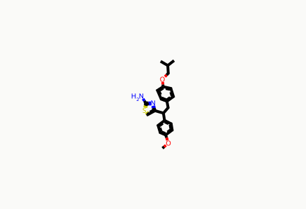 COc1ccc(C(Cc2ccc(OCC(C)C)cc2)c2csc(N)n2)cc1